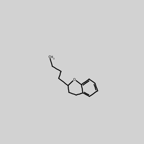 CCCCC1CCc2c[c]ccc2O1